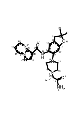 C[C@@H](C(N)=O)N1CCN(c2cc3c(cc2NC(=O)c2cnn4cccnc24)CC(C)(C)O3)CC1